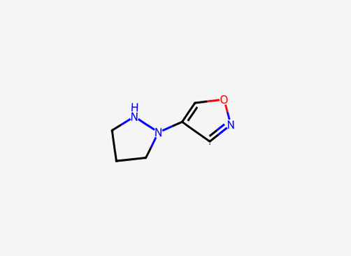 [c]1nocc1N1CCCN1